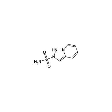 NS(=O)(=O)N1C=C2C=CC=CN2N1